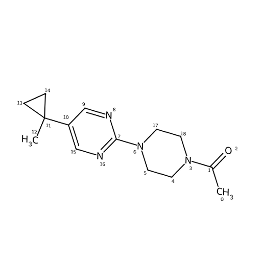 CC(=O)N1CCN(c2ncc(C3(C)CC3)cn2)CC1